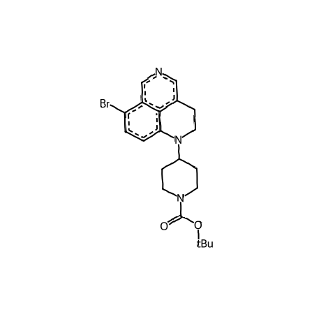 CC(C)(C)OC(=O)N1CCC(N2CCc3cncc4c(Br)ccc2c34)CC1